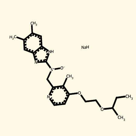 CCC(C)OCCOc1ccnc(C[S+]([O-])c2nc3cc(C)c(C)cc3[nH]2)c1C.[NaH]